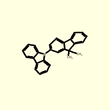 CC1(C)c2ccccc2-c2ccc(-n3c4ccccc4c4ccccc43)cc21